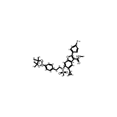 CNC(=O)c1c(-c2ccc(F)cc2)oc2cc(N(CCc3ccc(B4OC(C)(C)C(C)(C)O4)cc3)S(C)(=O)=O)c(C3CC3)cc12